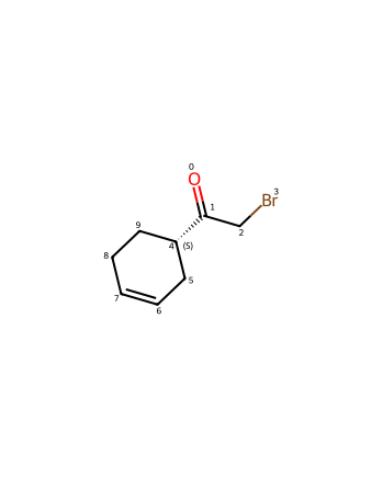 O=C(CBr)[C@@H]1CC=CCC1